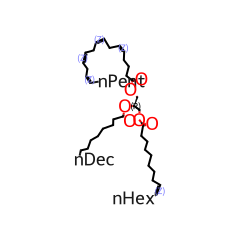 CCCCC/C=C\C/C=C\C/C=C\C/C=C\CCCC(=O)OC[C@@H](COC(=O)CCCCCCC/C=C\CCCCCC)OC(=O)CCCCCCCCCCCCCCCCC